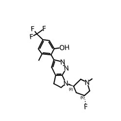 Cc1cc(C(F)(F)F)cc(O)c1-c1cc2c(nn1)N([C@@H]1C[C@@H](F)CN(C)C1)CC2